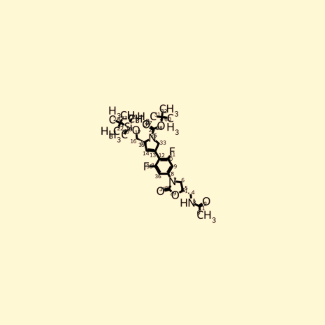 CC(=O)NC[C@H]1CN(c2cc(F)c(C3=C[C@@H](CO[Si](C)(C)C(C)(C)C)N(C(=O)OC(C)(C)C)C3)c(F)c2)C(=O)O1